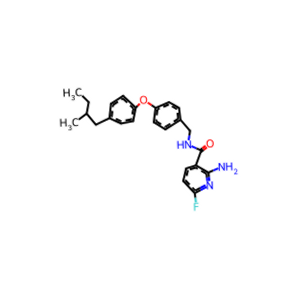 CCC(C)Cc1ccc(Oc2ccc(CNC(=O)c3ccc(F)nc3N)cc2)cc1